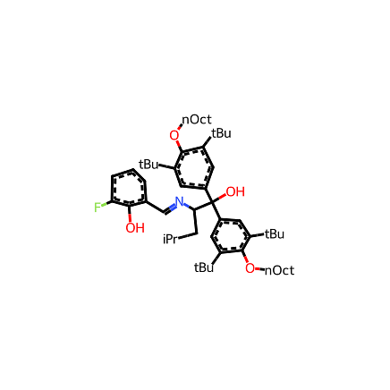 CCCCCCCCOc1c(C(C)(C)C)cc(C(O)(c2cc(C(C)(C)C)c(OCCCCCCCC)c(C(C)(C)C)c2)C(CC(C)C)N=Cc2cccc(F)c2O)cc1C(C)(C)C